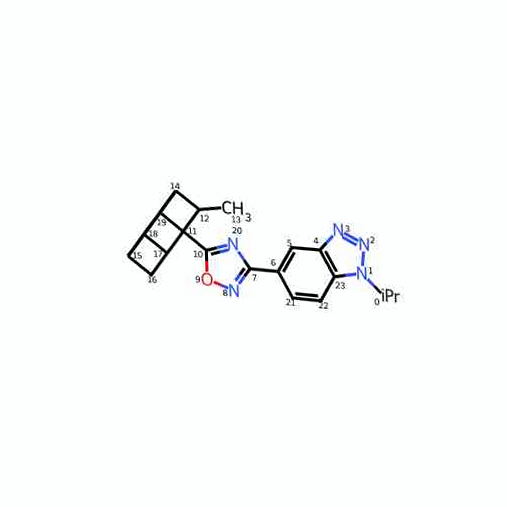 CC(C)n1nnc2cc(-c3noc(C45C(C)C6C7CC4C7C65)n3)ccc21